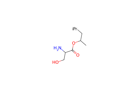 CC(C)CC(C)OC(=O)C(N)CO